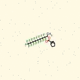 CC(OC(=O)C1=CC2CCC1C2)C(F)(F)C(F)(F)C(F)(F)C(F)(F)C(F)(F)C(F)(F)C(F)(F)C(F)(F)F